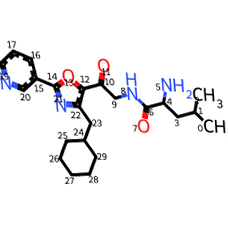 CC(C)CC(N)C(=O)NCC(=O)c1oc(-c2cccnc2)nc1CC1CCCCC1